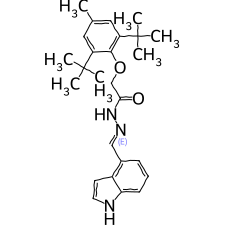 Cc1cc(C(C)(C)C)c(OCC(=O)N/N=C/c2cccc3[nH]ccc23)c(C(C)(C)C)c1